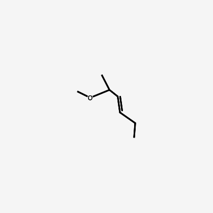 CC/C=C/C(C)OC